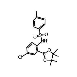 Cc1ccc(S(=O)(=O)Nc2ccc(Cl)cc2B2OC(C)(C)C(C)(C)O2)cc1